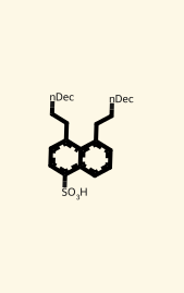 CCCCCCCCCCCCc1cccc2c(S(=O)(=O)O)ccc(CCCCCCCCCCCC)c12